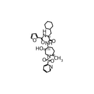 C[C@@H]1CC[C@H](NC(=O)[C@H](CC2CCCCC2)NC(=O)c2ccco2)[C@@H](O)CN1S(=O)(=O)c1ccccn1